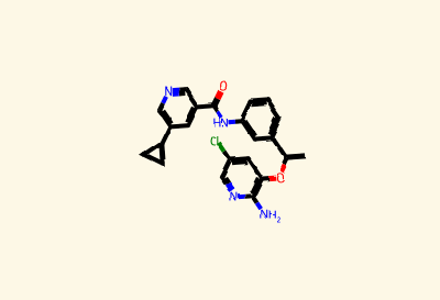 CC(Oc1cc(Cl)cnc1N)c1cccc(NC(=O)c2cncc(C3CC3)c2)c1